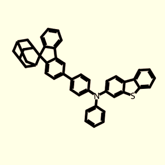 c1ccc(N(c2ccc(-c3ccc4c(c3)-c3ccccc3C43C4CC5CC(C4)CC3C5)cc2)c2ccc3c(c2)sc2ccccc23)cc1